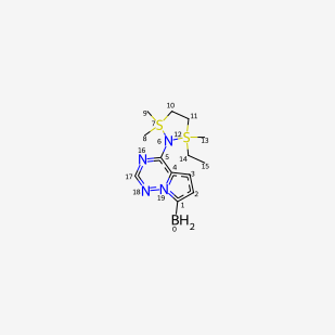 Bc1ccc2c(N3S(C)(C)CCS3(C)CC)ncnn12